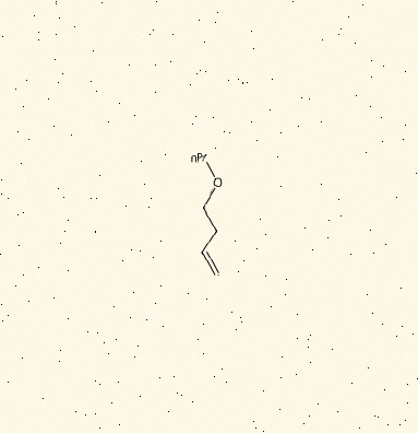 [CH]=CCCOCCC